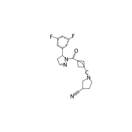 N#CC1CCN(CC23CC(C(=O)N4N=CCC4c4cc(F)cc(F)c4)(C2)C3)C1